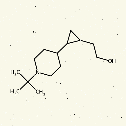 CC(C)(C)N1CCC(C2CC2CCO)CC1